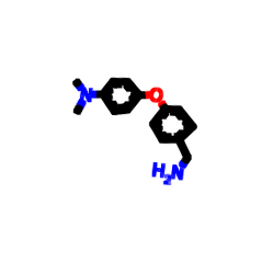 CN(C)c1ccc(Oc2ccc(CN)cc2)cc1